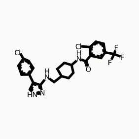 O=C(NC1CCC(CNc2n[nH]cc2-c2ccc(Cl)cc2)CC1)c1cc(C(F)(F)F)ccc1Cl